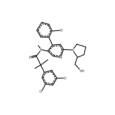 CN(C(=O)C(C)(C)c1cc(Cl)cc(Cl)c1)c1cnc(N2CCCC2CO)cc1-c1ccccc1Cl